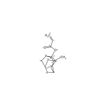 C=CC(=O)OC1C(C)CC2CC3CC(C2)CC1C3